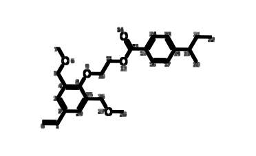 C=Cc1cc(COC)c(OCCOC(=O)c2ccc(C(C)CC)cc2)c(COC)c1